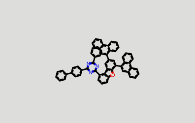 c1ccc(-c2ccc(-c3nc(-c4ccccc4)nc(-c4cccc5oc6c(-c7cc8ccccc8c8ccccc78)cc(-c7cc8ccccc8c8ccccc78)cc6c45)n3)cc2)cc1